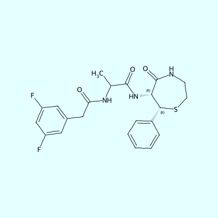 CC(NC(=O)Cc1cc(F)cc(F)c1)C(=O)N[C@@H]1C(=O)NCCS[C@@H]1c1ccccc1